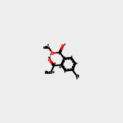 CCCCOC(=O)c1ccc(CC)cc1C(=O)OCC(C)C